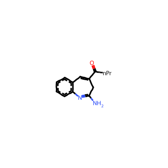 CCCC(=O)C1=Cc2ccccc2N=C(N)C1